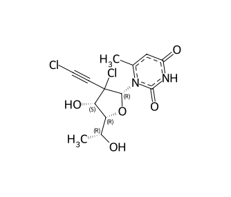 Cc1cc(=O)[nH]c(=O)n1[C@@H]1O[C@H]([C@@H](C)O)[C@H](O)C1(Cl)C#CCl